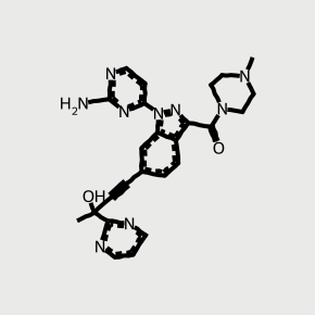 CN1CCN(C(=O)c2nn(-c3ccnc(N)n3)c3cc(C#CC(C)(O)c4ncccn4)ccc23)CC1